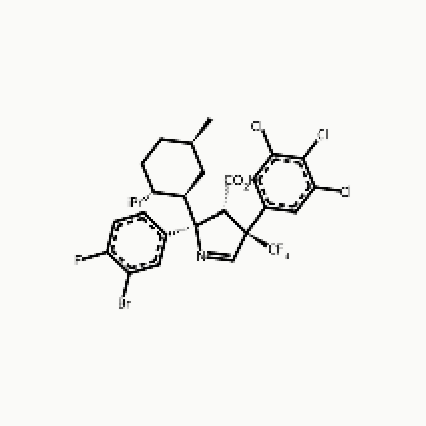 CC(C)[C@@H]1CC[C@@H](C)C[C@H]1[C@]1(c2ccc(F)c(Br)c2)N=C[C@](c2cc(Cl)c(Cl)c(Cl)c2)(C(F)(F)F)[C@H]1C(=O)O